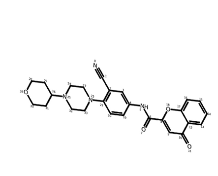 N#Cc1cc(NC(=O)c2cc(=O)c3ccccc3o2)ccc1N1CCN(C2CCOCC2)CC1